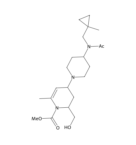 COC(=O)N1C(C)=CC(N2CCC(N(CC3(C)CC3)C(C)=O)CC2)CC1CO